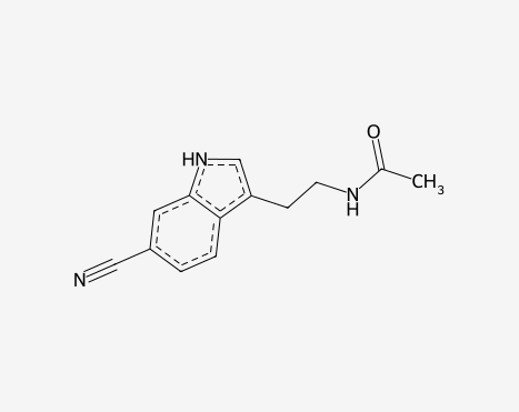 CC(=O)NCCc1c[nH]c2cc(C#N)ccc12